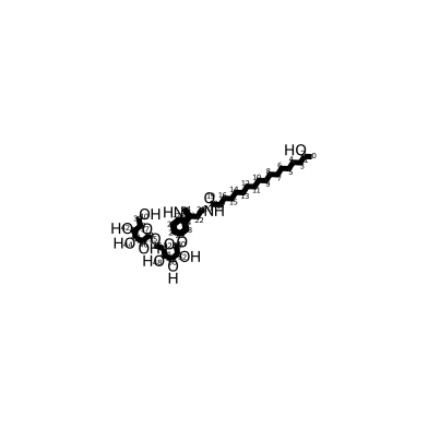 CC(O)CCCCCCCCCCCCCCCC(=O)NCCc1c[nH]c2ccc(O[C@H]3OC(CO[C@H]4OC(CO)[C@@H](O)C(O)C4O)[C@@H](O)C(O)C3O)cc12